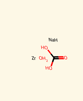 O.O=C(O)O.[NaH].[Zr]